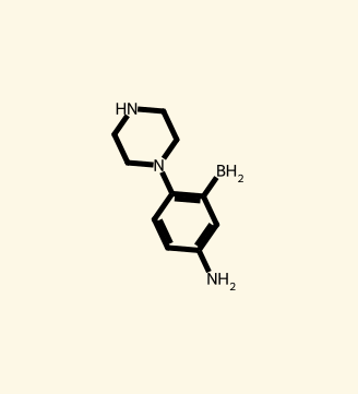 Bc1cc(N)ccc1N1CCNCC1